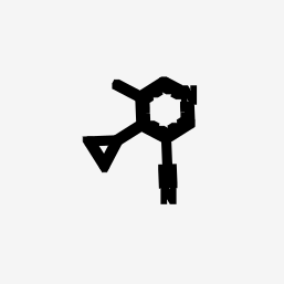 Cc1cncc(C#N)c1C1CC1